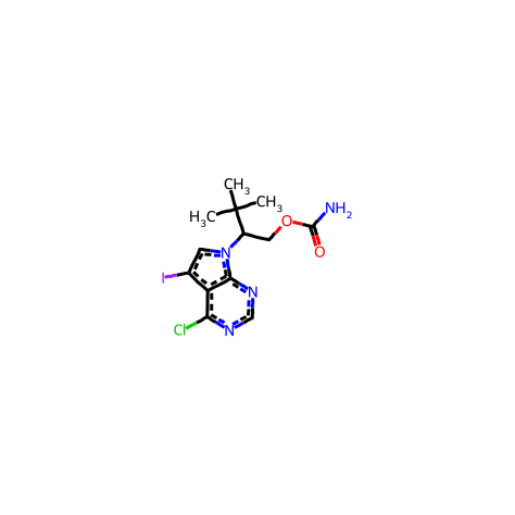 CC(C)(C)C(COC(N)=O)n1cc(I)c2c(Cl)ncnc21